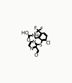 O=Cc1nccnc1Sc1c(Cl)ccc(C(F)(F)F)c1CNC(=O)O